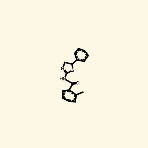 Cc1ccccc1C(=O)NC1=NCC(c2ccccc2)S1